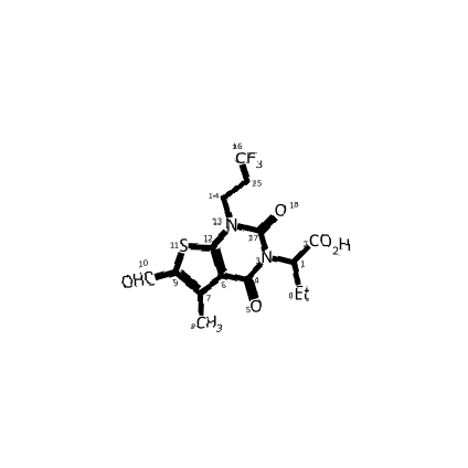 CCC(C(=O)O)n1c(=O)c2c(C)c(C=O)sc2n(CCC(F)(F)F)c1=O